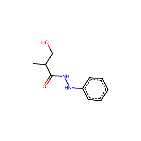 CC(CO)C(=O)NNc1ccccc1